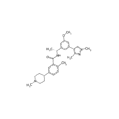 COc1cc(-c2cn(C)nc2C)cc([C@@H](C)NC(=O)c2cc(C3CCN(C)CC3)ccc2C)c1